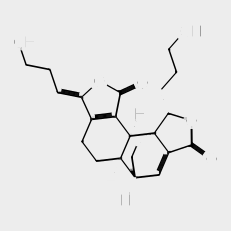 CCC/C=C1\OC(=O)C2=C1CC[C@@H]1[C@@H]3C=C4C(=O)O[C@@H](CCCC)[C@]4(CC3)[C@H]21